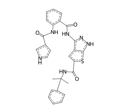 CC(C)(NC(=O)c1cc2c(NC(=O)c3ccccc3NC(=O)c3cc[nH]c3)n[nH]c2s1)c1ccccc1